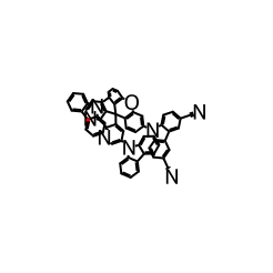 N#Cc1ccc2c(c1)c1cc(C#N)ccc1n2-c1ccc2c(c1)Oc1cccc(-n3c4ccccc4c4ccccc43)c1C21c2cccnc2-c2ncc(-n3c4ccccc4c4ccccc43)cc21